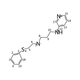 c1ccc(SCC[N]CCCNc2cccnc2)cc1